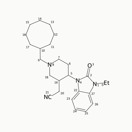 CCn1c(=O)n(C2CCN(CC3CCCCCCC3)CC2CC#N)c2ccccc21